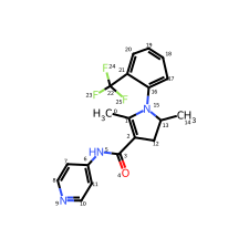 CC1=C(C(=O)Nc2ccncc2)CC(C)N1c1ccccc1C(F)(F)F